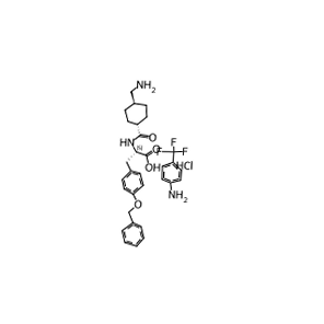 Cl.NC[C@H]1CC[C@H](C(=O)N[C@@H](Cc2ccc(OCc3ccccc3)cc2)C(=O)O)CC1.Nc1ccc(C(F)(F)F)cc1